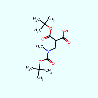 CN(CC(C(=O)O)C(=O)OC(C)(C)C)C(=O)OC(C)(C)C